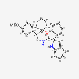 COc1ccc(C2CNC(C3(c4ccccc4)C=c4ccccc4=N3)OC23CCCCC3)cc1